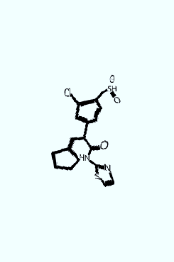 O=C(Nc1nccs1)C(CC1CCCC1)c1ccc(C[SH](=O)=O)c(Cl)c1